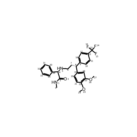 CNC(=O)[C@H](NCC[C@H](c1ccc(C(F)(F)F)cc1)c1ccc(OC)c(OC)c1)c1ccccc1